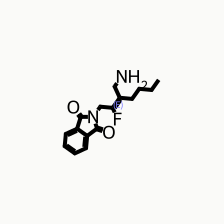 CCCC/C(CN)=C(\F)CN1C(=O)c2ccccc2C1=O